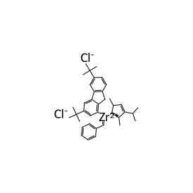 CC1=[C](/[Zr+2](=[CH]/c2ccccc2)[c]2cc(C(C)(C)C)cc3c2Cc2ccc(C(C)(C)C)cc2-3)C(C)C=C1C(C)C.[Cl-].[Cl-]